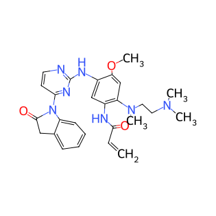 C=CC(=O)Nc1cc(Nc2nccc(N3C(=O)Cc4ccccc43)n2)c(OC)cc1N(C)CCN(C)C